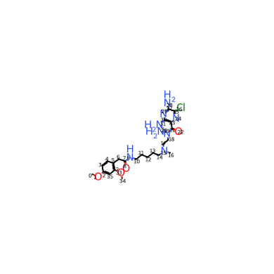 COc1ccc(CC(=O)NCCCCCN(C)CCN(N)C(=O)c2nc(Cl)c(N)nc2N)c(OC)c1